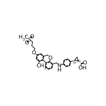 Cc1cc(OCCCS(C)(=O)=O)cc2c1-c1cccc(CNc3ccc([C@H]4C[C@@H]4C(=O)O)cc3)c1OC2